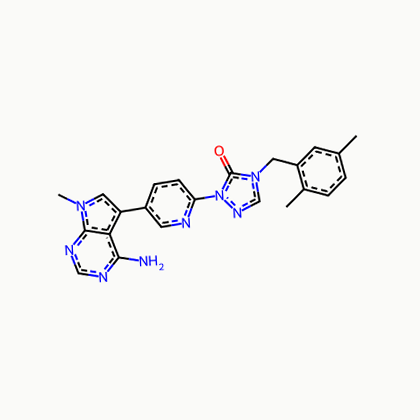 Cc1ccc(C)c(Cn2cnn(-c3ccc(-c4cn(C)c5ncnc(N)c45)cn3)c2=O)c1